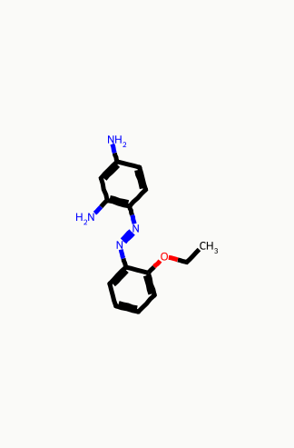 CCOc1ccccc1N=Nc1ccc(N)cc1N